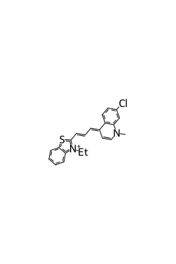 CC[n+]1c(/C=C/C=C2\C=CN(C)c3cc(Cl)ccc32)sc2ccccc21